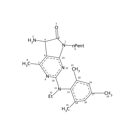 CCCCCN1C(=O)C(N)c2c(C)nc(N(CC)c3c(C)cc(C)cc3C)nc21